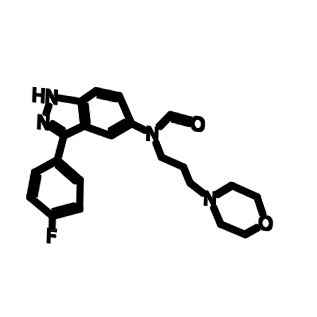 O=CN(CCCN1CCOCC1)c1ccc2[nH]nc(-c3ccc(F)cc3)c2c1